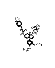 COc1ccc(CNC(=S)N[C@@H]2CC[C@@]3(c4ccc(OC)c(OC)c4)CCN(C)[C@H]3C2)cc1.O=C(O)C(F)(F)F